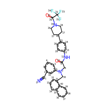 N#Cc1cccc(N(CC(=O)Nc2ccc(C3CCN(C(=O)C(F)(F)F)CC3)cc2)Cc2cccc3ccccc23)c1